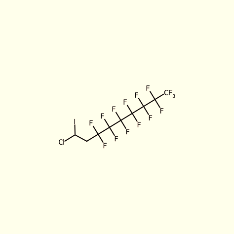 FC(F)(F)C(F)(F)C(F)(F)C(F)(F)C(F)(F)C(F)(F)C(F)(F)CC(Cl)I